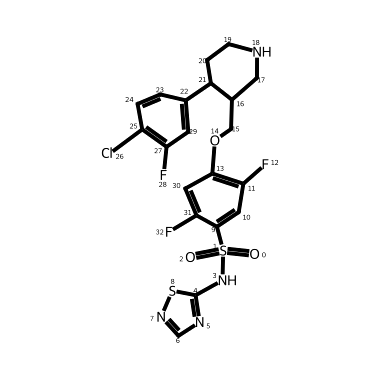 O=S(=O)(Nc1ncns1)c1cc(F)c(OCC2CNCCC2c2ccc(Cl)c(F)c2)cc1F